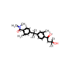 CCC(O)(CC)CC(=O)c1ccc(C(CC)(CC)c2ccc(C(=O)N(C)C)c(C)c2)cc1C